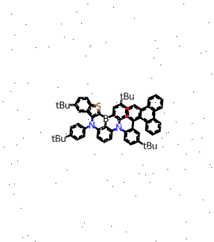 CC(C)(C)c1ccc(N2c3cccc4c3B(c3cc(C(C)(C)C)ccc3N4c3ccc(C(C)(C)C)cc3-c3cccc4c5ccccc5c5ccccc5c34)c3sc4ccc(C(C)(C)C)cc4c32)cc1